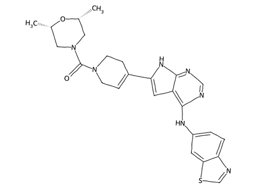 C[C@@H]1CN(C(=O)N2CC=C(c3cc4c(Nc5ccc6ncsc6c5)ncnc4[nH]3)CC2)C[C@H](C)O1